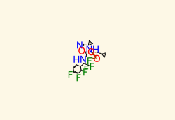 N#CC1(NC(=O)[C@H](CS(=O)(=O)CC2CC2)N[C@@H](c2ccc(F)c(F)c2F)C(F)(F)F)CC1